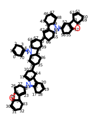 C1=CCCC(N2C3C=C(C4CC=C5C(C4)C4=C(CCC=C4)N5C4C=C5C(CC4)OC4C=CCCC54)CCC3C3CC(C4C=C5C6CCC=CC6N(C6=CC7=C(CC6)OC6CCC=CC76)C5CC4)C=CC32)=C1